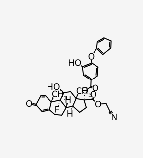 C[C@]12C=CC(=O)C=C1CC[C@H]1[C@@H]3CC[C@](OC(=O)c4ccc(Oc5ccccc5)c(O)c4)(C(=O)OCC#N)[C@@]3(C)C[C@H](O)[C@@]12F